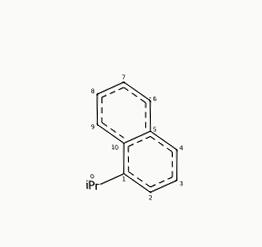 CC(C)c1cccc2[c]cccc12